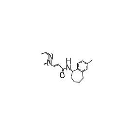 C/C=N\N(C)/C=C/C(=O)N[C@@H]1CCCCc2cc(C)ccc21